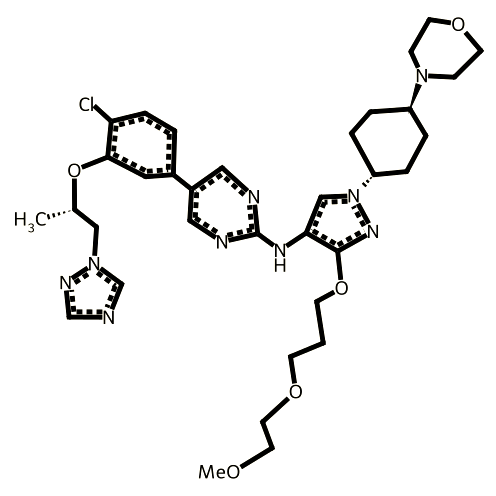 COCCOCCCOc1nn([C@H]2CC[C@H](N3CCOCC3)CC2)cc1Nc1ncc(-c2ccc(Cl)c(O[C@@H](C)Cn3cncn3)c2)cn1